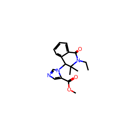 CCN1C(=O)c2ccccc2C(n2cncc2C(=O)OC)C1(C)C